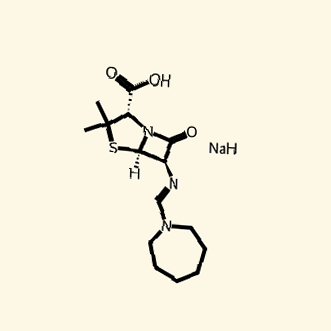 CC1(C)S[C@@H]2[C@H](N=CN3CCCCCC3)C(=O)N2[C@H]1C(=O)O.[NaH]